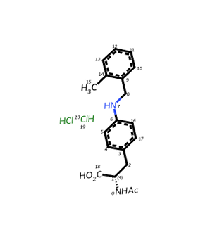 CC(=O)N[C@@H](Cc1ccc(NCc2ccccc2C)cc1)C(=O)O.Cl.Cl